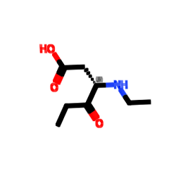 CCN[C@@H](CC(=O)O)C(=O)CC